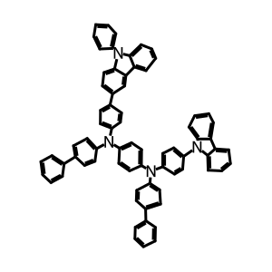 c1ccc(-c2ccc(N(c3ccc(-c4ccc5c(c4)c4ccccc4n5-c4ccccc4)cc3)c3ccc(N(c4ccc(-c5ccccc5)cc4)c4ccc(-n5c6ccccc6c6ccccc65)cc4)cc3)cc2)cc1